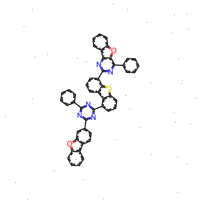 c1ccc(-c2nc(-c3ccc4c(c3)oc3ccccc34)nc(-c3cccc4sc5c(-c6nc(-c7ccccc7)c7oc8ccccc8c7n6)cccc5c34)n2)cc1